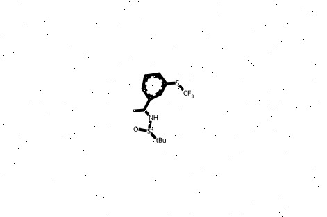 CC(N[S+]([O-])C(C)(C)C)c1cccc(SC(F)(F)F)c1